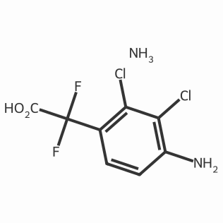 N.Nc1ccc(C(F)(F)C(=O)O)c(Cl)c1Cl